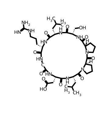 CC(C)C[C@@H]1NC(=O)[C@H](CO)NC(=O)[C@@H]2CCCN2C(=O)[C@H]2CCCN2C(=O)[C@H](CC(C)C)NC(=O)[C@H](CC(=O)O)NC(=O)CNC(=O)[C@H](CCCNC(=N)N)NC1=O